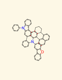 c1ccc(-n2c3ccccc3c3ccc(-c4ccccc4N(c4ccc5oc6ccccc6c5c4)c4ccccc4-c4cccc5cccc(C6CCCCC6)c45)cc32)cc1